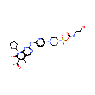 CC(=O)c1c(C)c2cnc(Nc3ccc(N4CCN(S(=O)(=O)OC(=O)NCCO)CC4)cn3)nc2n(C2CCCC2)c1=O